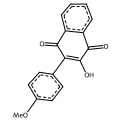 COc1ccc(C2=C(O)C(=O)c3ccccc3C2=O)cc1